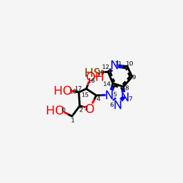 OCC1OC(n2nnc3ccnc(S)c32)C(O)C1O